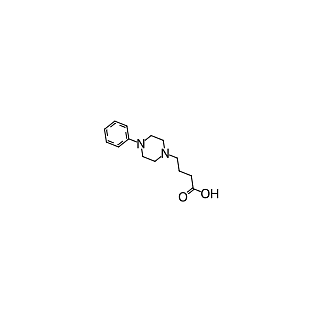 O=C(O)CCCN1CCN(c2ccccc2)CC1